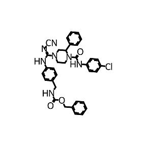 N#CN=C(Nc1ccc(CNC(=O)OCc2ccccc2)cc1)N1CCN(C(=O)Nc2ccc(Cl)cc2)C(c2ccccc2)C1